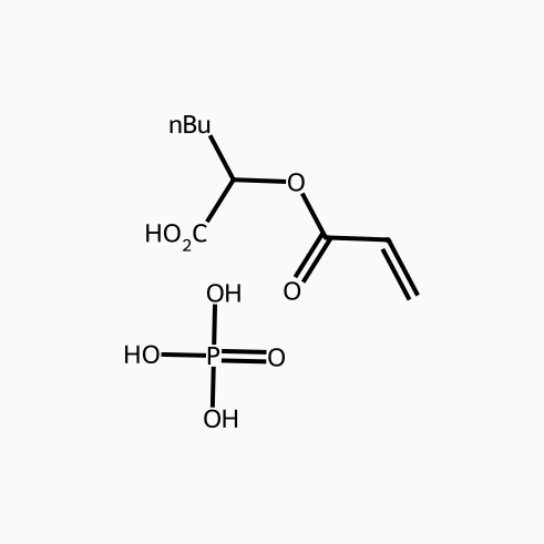 C=CC(=O)OC(CCCC)C(=O)O.O=P(O)(O)O